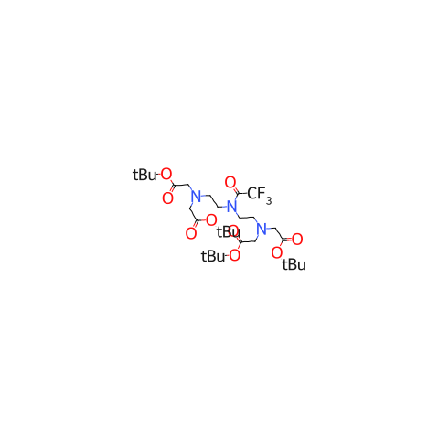 CC(C)(C)OC(=O)CN(CCN(CCN(CC(=O)OC(C)(C)C)CC(=O)OC(C)(C)C)C(=O)C(F)(F)F)CC(=O)OC(C)(C)C